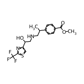 COC(=O)c1ccc(C(C)CNCC(O)c2csc(C(F)(F)F)n2)cc1